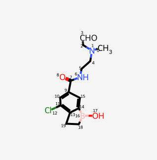 CN(CC=O)CCNC(=O)c1cc(Cl)c2c(c1)B(O)CC2